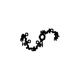 CC(CCOC(C)(C)CCNC(=O)OC1C2CCc3nnn(CCC(C)(C)OCCC(C)(C)N=[N+]=[N-])c3CCC21)CNC(=O)CCN1C(=O)C=CC1=O